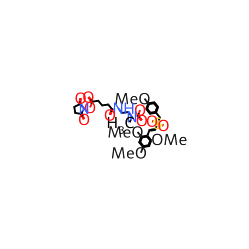 COc1cc(OC)c(/C=C/S(=O)(=O)Cc2ccc(OC)c(OC(=O)N(C)CCNC(=O)CCCC(=O)ON3C(=O)CCC3=O)c2)c(OC)c1